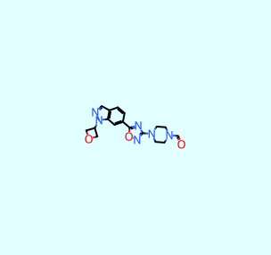 O=CN1CCN(c2noc(-c3ccc4cnn(C5COC5)c4c3)n2)CC1